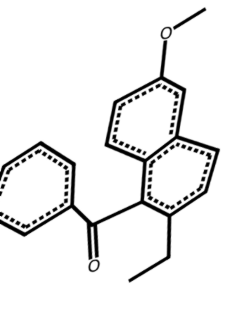 CCc1ccc2cc(OC)ccc2c1C(=O)c1ccccc1